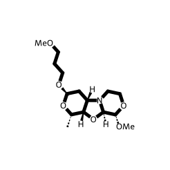 COCCCO[C@H]1C[C@H]2[C@H](O[C@@H]3[C@@H](OC)OCCN32)[C@H](C)O1